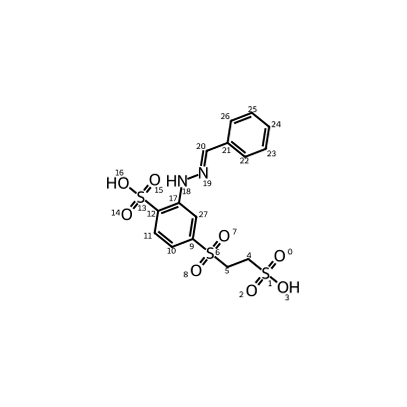 O=S(=O)(O)CCS(=O)(=O)c1ccc(S(=O)(=O)O)c(N/N=C/c2ccccc2)c1